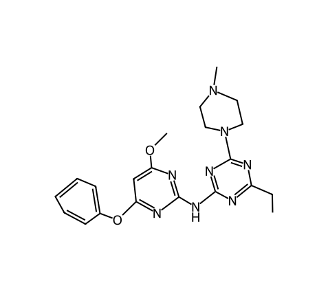 CCc1nc(Nc2nc(OC)cc(Oc3ccccc3)n2)nc(N2CCN(C)CC2)n1